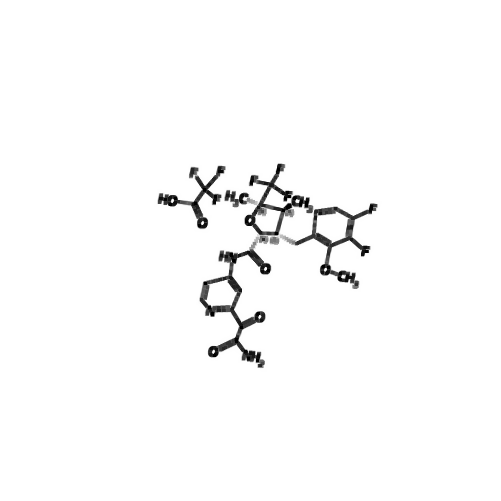 COc1c(C[C@@H]2[C@H](C(=O)Nc3ccnc(C(=O)C(N)=O)c3)O[C@@](C)(C(F)(F)F)[C@H]2C)ccc(F)c1F.O=C(O)C(F)(F)F